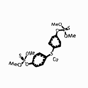 COP(=S)(OC)Oc1ccc(Sc2ccc(OP(=S)(OC)OC)cc2)cc1.[Cu]